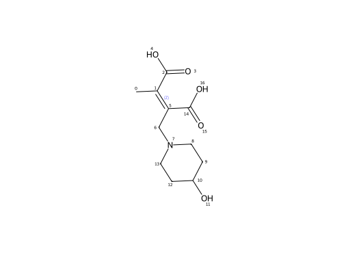 C/C(C(=O)O)=C(\CN1CCC(O)CC1)C(=O)O